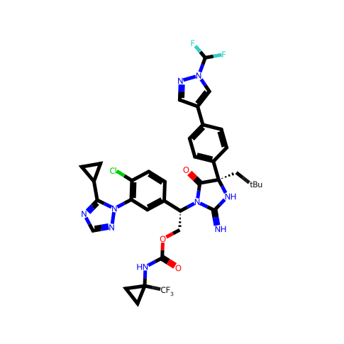 CC(C)(C)C[C@]1(c2ccc(-c3cnn(C(F)F)c3)cc2)NC(=N)N([C@H](COC(=O)NC2(C(F)(F)F)CC2)c2ccc(Cl)c(-n3ncnc3C3CC3)c2)C1=O